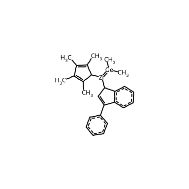 CC1=C(C)[CH]([Zr]([CH]2C=C(c3ccccc3)c3ccccc32)=[Ge]([CH3])[CH3])C(C)=C1C